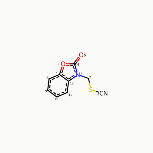 N#CSCn1c(=O)oc2ccccc21